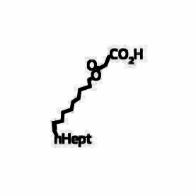 CCCCCCC/C=C\CCCCCCCCOC(=O)CCC(=O)O